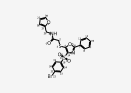 O=C(CSc1oc(-c2ccccc2)nc1S(=O)(=O)c1ccc(Br)cc1)NCc1ccco1